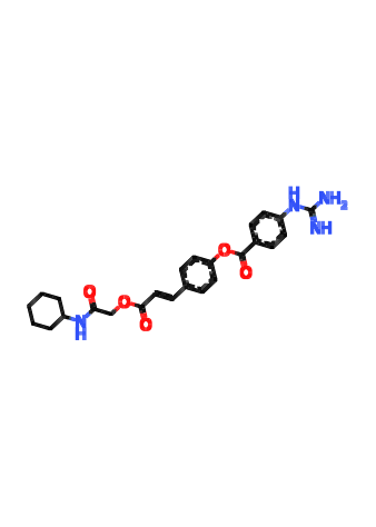 N=C(N)Nc1ccc(C(=O)Oc2ccc(/C=C/C(=O)OCC(=O)NC3CCCCC3)cc2)cc1